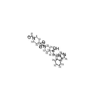 CC(=O)N1CCC(S(=O)(=O)N2CCC3(CC2)C[C@@H]([C@H]2c4ccccc4-c4cncn42)[C@H]3O)CC1